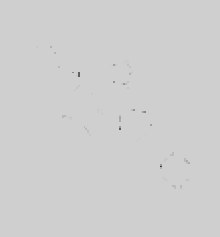 C#CC(=O)N(c1ccc(Oc2ccccc2)cc1)C(C(=O)NC1CCCCC1)c1cccs1